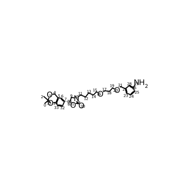 CC1(C)OCc2cc([C@@H]3CN(CCCCCOCCCOCc4cccc(N)c4)C(=O)O3)ccc2O1